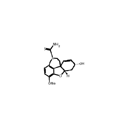 COc1ccc2c3c1O[C@H]1C[C@@H](O)C=CC31CCN(C(N)=S)C2